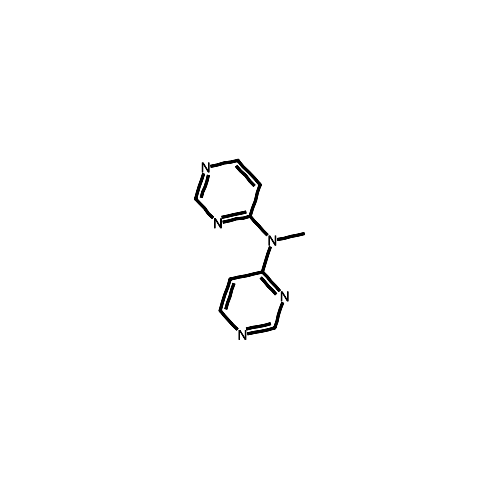 CN(c1ccncn1)c1ccncn1